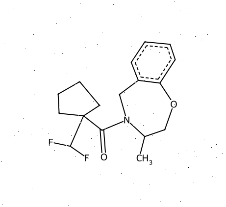 CC1COc2ccccc2CN1C(=O)C1(C(F)F)CCCC1